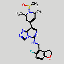 CC1C=C(c2cnc(NCc3c(F)ccc4c3CCO4)n3cnnc23)CC(C)N1[S+](C)[O-]